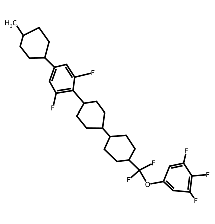 CC1CCC(c2cc(F)c(C3CCC(C4CCC(C(F)(F)Oc5cc(F)c(F)c(F)c5)CC4)CC3)c(F)c2)CC1